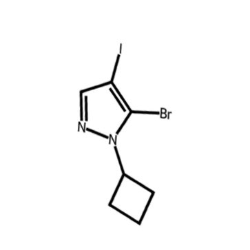 Brc1c(I)cnn1C1CCC1